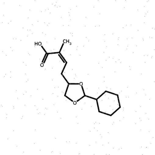 CC(=CCC1COC(C2CCCCC2)O1)C(=O)O